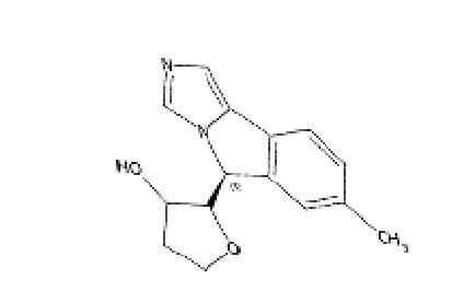 Cc1ccc2c(c1)[C@@H](C1OCCC1O)n1cncc1-2